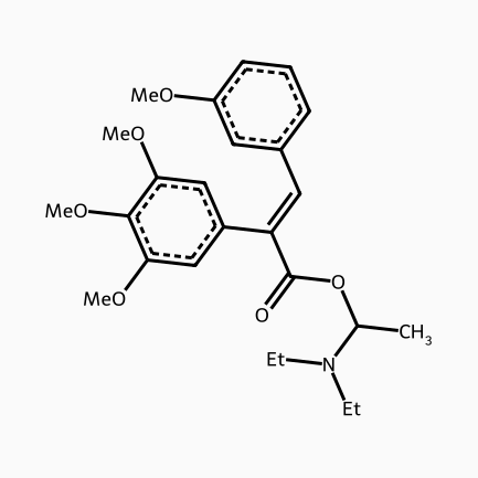 CCN(CC)C(C)OC(=O)C(=Cc1cccc(OC)c1)c1cc(OC)c(OC)c(OC)c1